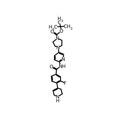 CC(C)(C)OC(=O)N1CCN(c2ccc(NC(=O)c3ccc(C4=CCNCC4)c(F)c3)nc2)CC1